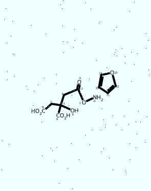 NOC(=O)CC(O)(CC(=O)O)C(=O)O.c1ccoc1